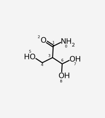 NC(=O)C(CO)C(O)O